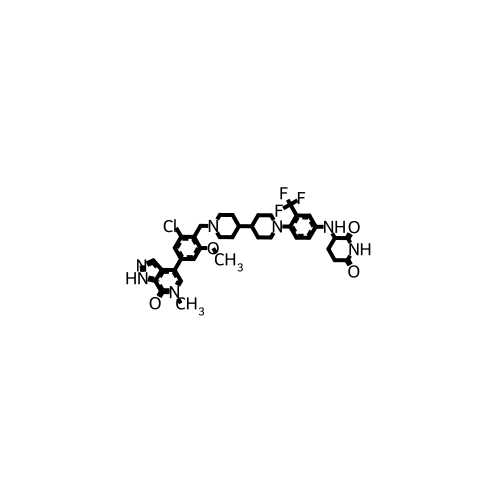 COc1cc(-c2cn(C)c(=O)c3[nH]ncc23)cc(Cl)c1CN1CCC(C2CCN(c3ccc(NC4CCC(=O)NC4=O)cc3C(F)(F)F)CC2)CC1